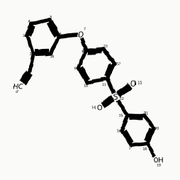 C#Cc1cccc(Oc2ccc(S(=O)(=O)c3ccc(O)cc3)cc2)c1